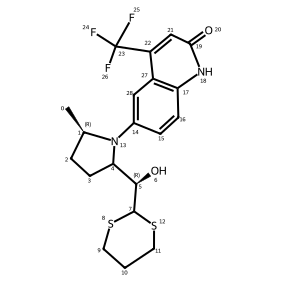 C[C@@H]1CCC([C@@H](O)C2SCCCS2)N1c1ccc2[nH]c(=O)cc(C(F)(F)F)c2c1